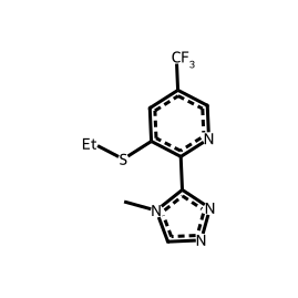 CCSc1cc(C(F)(F)F)cnc1-c1nncn1C